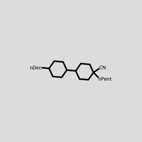 CCCCCCCCCCC1CCC(C2CCC(C#N)(CCCCC)CC2)CC1